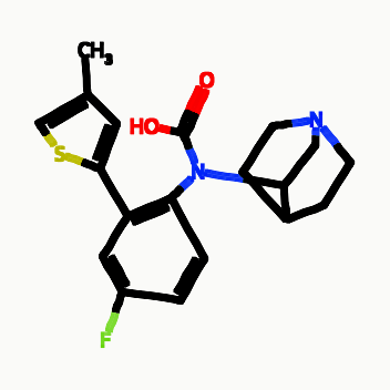 Cc1csc(-c2cc(F)ccc2N(C(=O)O)C2CN3CCC2CC3)c1